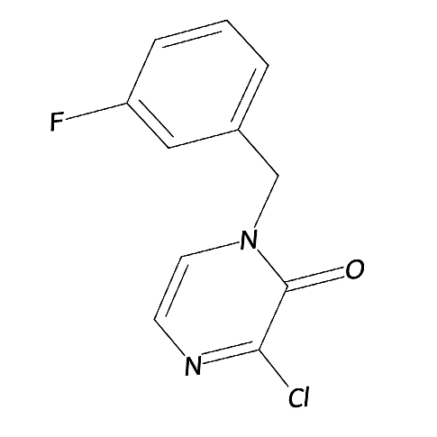 O=c1c(Cl)nccn1Cc1cccc(F)c1